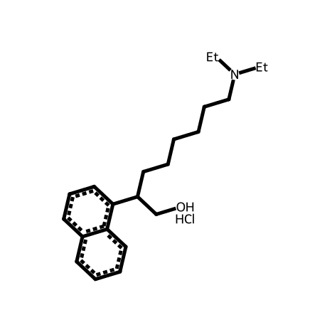 CCN(CC)CCCCCCC(CO)c1cccc2ccccc12.Cl